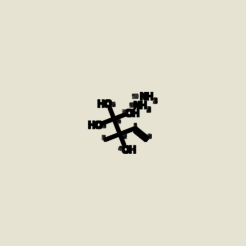 C=CC(C)(O)C(O)(O)O.N.N